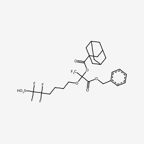 O=C(OC(OCCCCC(F)(F)C(F)(F)S(=O)(=O)O)(C(=O)OCc1ccccc1)C(F)(F)F)C12CC3CC(CC(C3)C1)C2